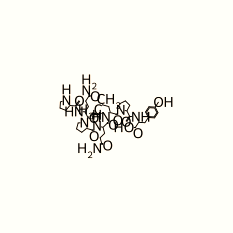 CC(C)CC(NC(=O)C(CCC(N)=O)NC(=O)C1CCCN1C(=O)C(CCC(N)=O)NC(=O)C1CCCN1)C(=O)N1CCCC1C(=O)NC(Cc1ccc(O)cc1)C(=O)O